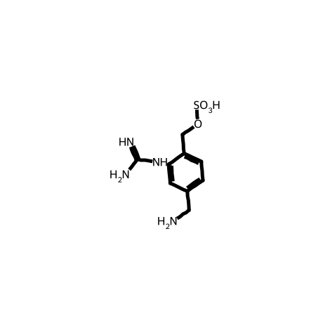 N=C(N)N.NCc1ccc(COS(=O)(=O)O)cc1